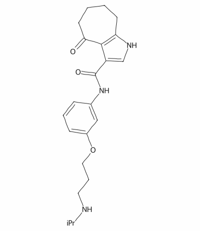 CC(C)NCCCOc1cccc(NC(=O)c2c[nH]c3c2C(=O)CCCC3)c1